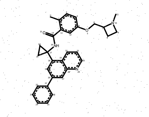 Cc1ccc(OCC2CCN2C)cc1C(=O)NC1(c2cc(-c3ccccc3)cc3ncccc23)CC1